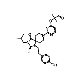 CC(C)CN1C(=O)N(CCc2ccc(O)cc2)C2(CCN(c3nccc(OC(C)(C)C=O)n3)CC2)C1=O